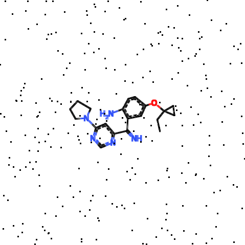 CCC1(Oc2ccc(N)c(C(=N)c3cc(N4CCCC4)ncn3)c2)CC1